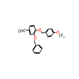 O=Cc1ccc(OCc2ccc(OC(F)(F)F)cc2)c(OCc2ccccc2)c1